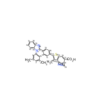 Cc1cc(C)cc(-n2c(-c3ccc(-c4sc(/C=C(/C(=O)O)C5CN5)c(C)c4C)cc3)nc3ccccc32)c1